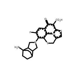 NC12CCC(CC1)C1CN(c3c(F)cc4c(=O)c(C(=O)O)c5scc6n5c4c3SC6)CC12